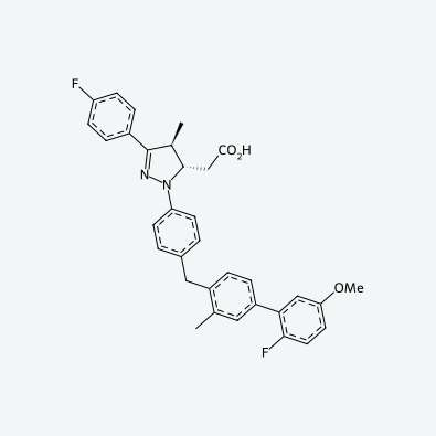 COc1ccc(F)c(-c2ccc(Cc3ccc(N4N=C(c5ccc(F)cc5)[C@@H](C)[C@@H]4CC(=O)O)cc3)c(C)c2)c1